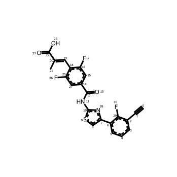 C#Cc1cccc(-c2csc(NC(=O)c3cc(F)c(/C=C(\C)C(=O)O)c(F)c3)n2)c1F